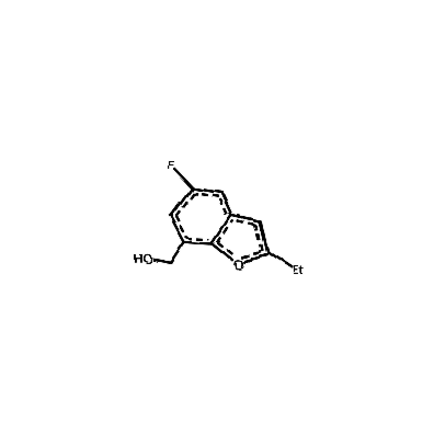 CCc1cc2cc(F)cc(CO)c2o1